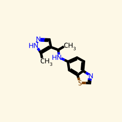 Cc1[nH]ncc1C(C)Nc1ccc2ncsc2c1